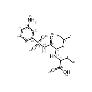 CCC(NC(CC(C)C)C(=O)NS(=O)(=O)c1cccc(N)c1)C(=O)O